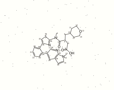 CN(C(=O)C(CC(=O)O)CC1CCOCC1)c1nc(-c2ccccc2-c2cnc3c(ccn3C)c2)cs1